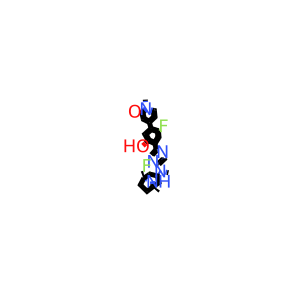 CN(c1cnc(-c2cc(F)c(-c3ccn(C)c(=O)c3)cc2O)cn1)[C@H]1C[C@]2(C)CC[C@@](C)(N2)[C@H]1F